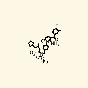 Cc1cc(C(=O)c2ccc(=O)n(-c3ccc(CN(C(=O)OC(C)(C)C)C(CC(C)CC4CCCC4)C(=O)O)cc3)c2N)ccc1F